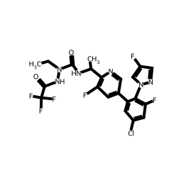 CCN(NC(=O)C(F)(F)F)C(=O)NC(C)c1ncc(-c2cc(Cl)cc(F)c2-n2cc(F)cn2)cc1F